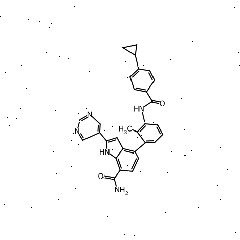 Cc1c(NC(=O)c2ccc(C3CC3)cc2)cccc1-c1ccc(C(N)=O)c2[nH]c(-c3cncnc3)cc12